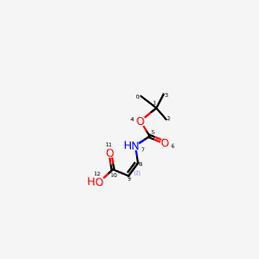 CC(C)(C)OC(=O)N/C=C\C(=O)O